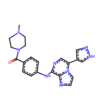 CN1CCN(C(=O)c2ccc(Nc3ncc(-c4cn[nH]c4)n4ccnc34)cc2)CC1